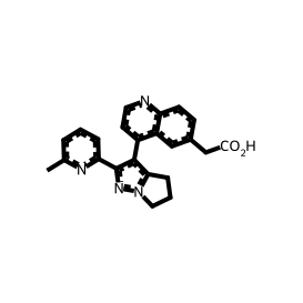 Cc1cccc(-c2nn3c(c2-c2ccnc4ccc(CC(=O)O)cc24)CCC3)n1